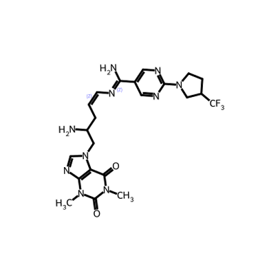 Cn1c(=O)c2c(ncn2CC(N)C/C=C\N=C(/N)c2cnc(N3CCC(C(F)(F)F)C3)nc2)n(C)c1=O